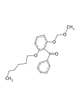 CCCCCCOc1cccc(OCOC)c1C(=O)c1ccccc1